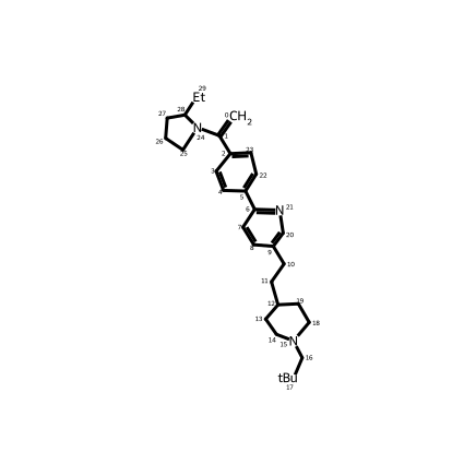 C=C(c1ccc(-c2ccc(CCC3CCN(CC(C)(C)C)CC3)cn2)cc1)N1CCCC1CC